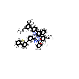 Cc1cc(-c2ccc3c4ccc(-c5cc(C(F)(F)F)cc(C(F)(F)F)c5)cc4n(-c4ccc(-c5cccc6c5sc5ccccc56)cc4-c4nc(-c5ccccc5)nc(-c5ccccc5)n4)c3c2)cc(C(F)(F)F)c1